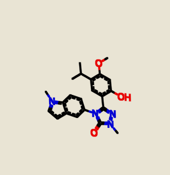 COc1cc(O)c(-c2nn(C)c(=O)n2-c2ccc3c(ccn3C)c2)cc1C(C)C